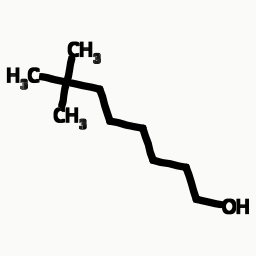 CC(C)(C)CCCCCCO